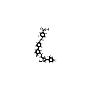 CCn1cc(-c2ccc(Cl)cc2Cl)nc1C=Cc1cc(-c2ccc(OCc3ccc(C(=O)O)cc3)cc2)ccc1F